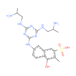 Cc1c(S(=O)(=O)O)cc2cc(Nc3nc(NCC(C)N)nc(NCC(C)N)n3)ccc2c1O